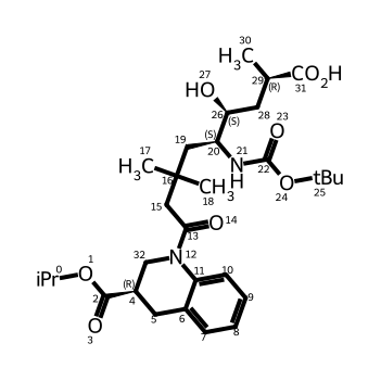 CC(C)OC(=O)[C@@H]1Cc2ccccc2N(C(=O)CC(C)(C)C[C@H](NC(=O)OC(C)(C)C)[C@@H](O)C[C@@H](C)C(=O)O)C1